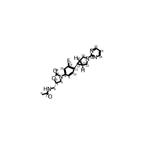 CC(=O)NC[C@H]1CN(c2ccc([C@H]3[C@@H]4CN(c5ncccn5)C[C@@H]43)c(F)c2)C(=O)O1